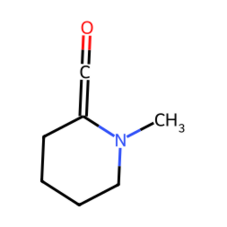 CN1CCCCC1=C=O